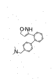 CN(C)Cc1ccc(-c2ccccc2C2=CCON2)cc1